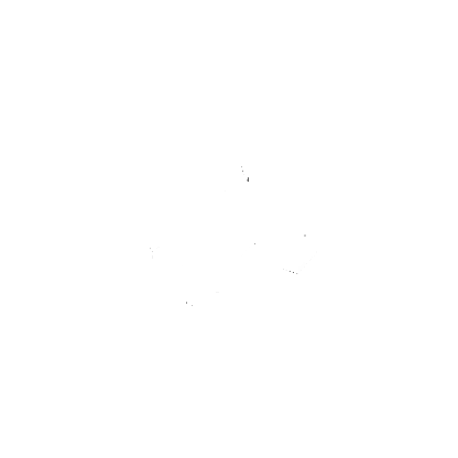 ON=C(CCCc1ccccc1CCCN1CCCCCC1)c1ccccc1